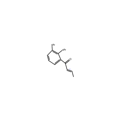 C/C=C/C(=O)c1cccc(CCC)c1CCC